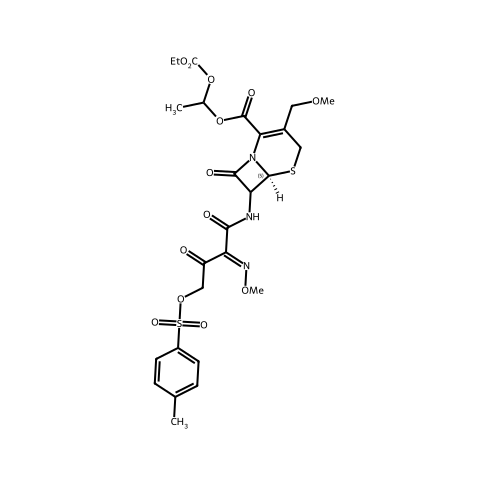 CCOC(=O)OC(C)OC(=O)C1=C(COC)CS[C@H]2C(NC(=O)C(=NOC)C(=O)COS(=O)(=O)c3ccc(C)cc3)C(=O)N12